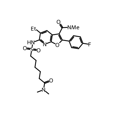 CCc1cc2c(C(=O)NC)c(-c3ccc(F)cc3)oc2nc1NS(=O)(=O)CCCCCC(=O)N(C)C